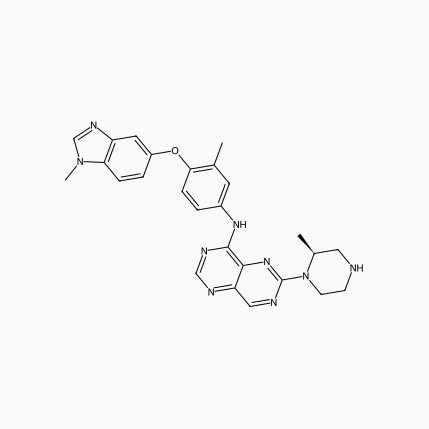 Cc1cc(Nc2ncnc3cnc(N4CCNC[C@@H]4C)nc23)ccc1Oc1ccc2c(c1)ncn2C